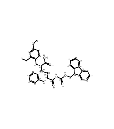 CCc1cc(OC)ccc1C[C@H](NN[C@@H](Cc1ccccc1)C(=O)OC(=O)OCC1c2ccccc2-c2ccccc21)C(=O)O